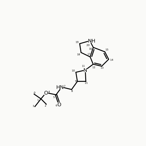 CC(C)(C)OC(=O)NCC1CN(c2cccc3c2CCN3)C1